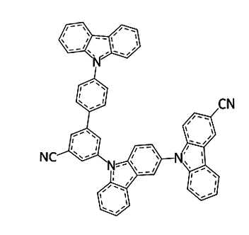 N#Cc1cc(-c2ccc(-n3c4ccccc4c4ccccc43)cc2)cc(-n2c3ccccc3c3cc(-n4c5ccccc5c5cc(C#N)ccc54)ccc32)c1